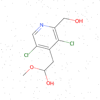 COC(O)Cc1c(Cl)cnc(CO)c1Cl